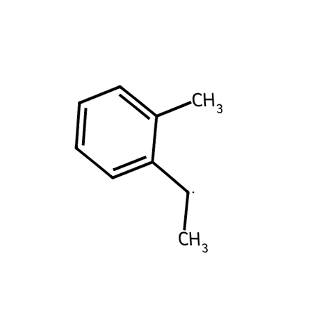 C[CH]c1ccccc1C